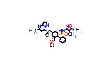 CCOCc1cc(CN(C)c2cc(C)nc3ccnn23)ccc1-c1ccccc1S(=O)(=O)Nc1noc(C)c1C